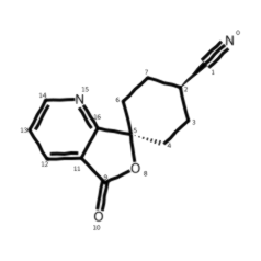 N#C[C@H]1CC[C@]2(CC1)OC(=O)c1cccnc12